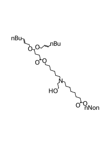 CCCC/C=C/COC(CCC(=O)OCCCCCCN(CCO)CCCCCCCC(=O)OCCCCCCCCC)OC/C=C/CCCC